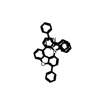 c1ccc(-c2nc(-c3ccccc3)nc(-c3cccc4oc5c(-c6ccccc6)ccc(-n6c7ccccc7c7ccccc76)c5c34)n2)cc1